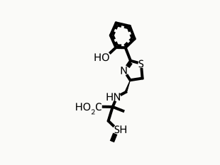 C=[SH]CC(C)(NC[C@@H]1CSC(c2ccccc2O)=N1)C(=O)O